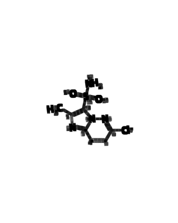 Cc1nc2ccc(Cl)nn2c1S(N)(=O)=O